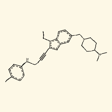 CCn1c(C#CCNc2ccc(C)cc2)cc2cc(CN3CCC(N(C)C)CC3)ccc21